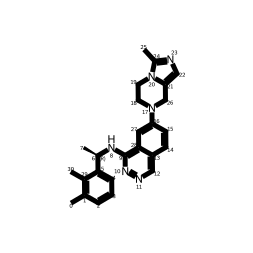 Cc1cccc([C@@H](C)Nc2nncc3ccc(N4CCn5c(cnc5C)C4)cc23)c1C